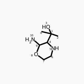 CC(C)(O)C1NCCOC1N